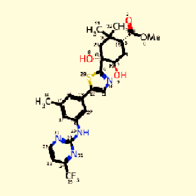 COC(=O)[C@@H]1C[C@@H](O)[C@@](O)(c2ncc(-c3cc(C)cc(Nc4nccc(C(F)(F)F)n4)c3)s2)CC1(C)C